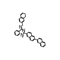 C=N/C(=N\C(=N/Cc1ccc2c(c1)CCC=C2)c1ccccc1)c1ccc2cc(-c3ccc4ccccc4c3)ccc2c1